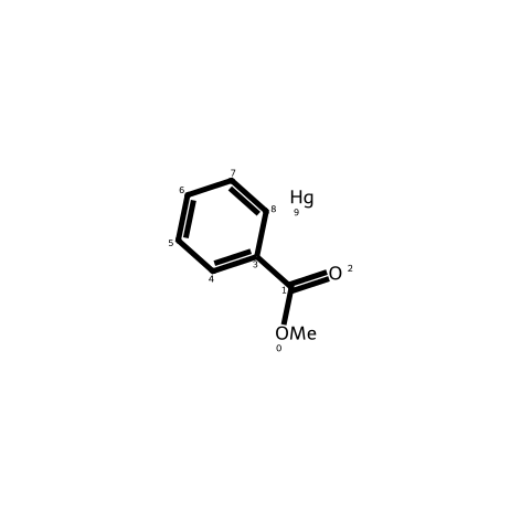 COC(=O)c1ccccc1.[Hg]